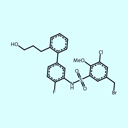 COc1c(Cl)cc(CBr)cc1S(=O)(=O)Nc1cc(-c2ccccc2CCCO)ccc1F